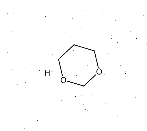 C1COCOC1.[H+]